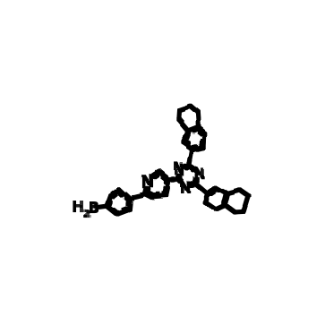 Bc1ccc(-c2ccc(-c3nc(C4=CC5=C(CCCC5)CC4)nc(-c4ccc5c(c4)CCCC5)n3)cn2)cc1